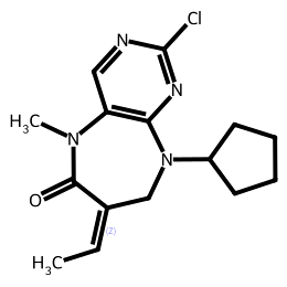 C/C=C1/CN(C2CCCC2)c2nc(Cl)ncc2N(C)C1=O